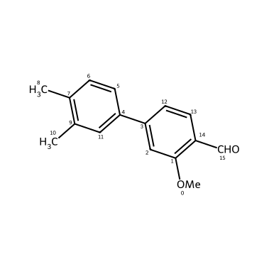 COc1cc(-c2ccc(C)c(C)c2)ccc1C=O